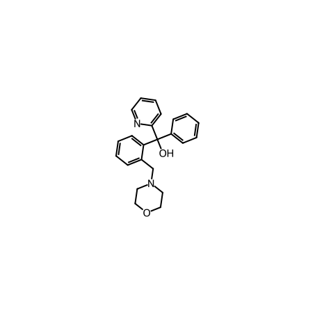 OC(c1ccccc1)(c1ccccn1)c1ccccc1CN1CCOCC1